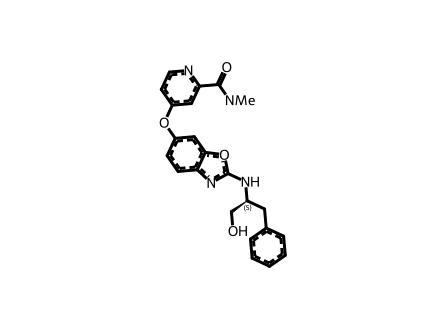 CNC(=O)c1cc(Oc2ccc3nc(N[C@H](CO)Cc4ccccc4)oc3c2)ccn1